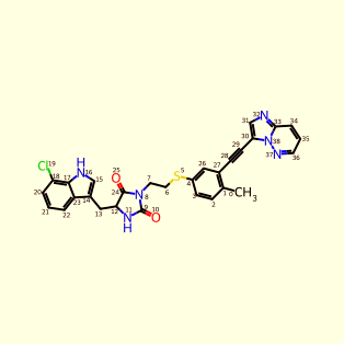 Cc1ccc(SCCN2C(=O)NC(Cc3c[nH]c4c(Cl)cccc34)C2=O)cc1C#Cc1cnc2cccnn12